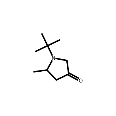 CC1CC(=O)CN1C(C)(C)C